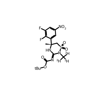 [2H]C([2H])([2H])N1/C(=N/C(=O)OC(C)(C)C)N[C@](C)(c2cc([N+](=O)[O-])cc(F)c2F)CS1(=O)=O